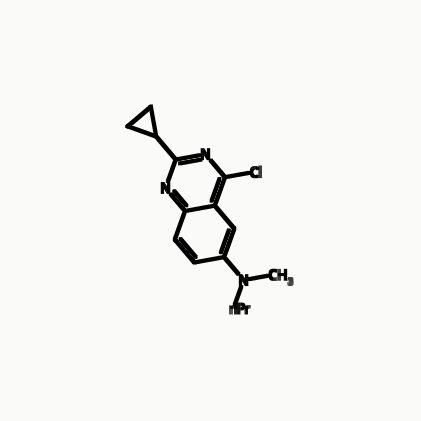 CCCN(C)c1ccc2nc(C3CC3)nc(Cl)c2c1